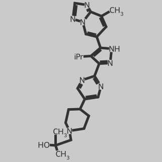 Cc1cc(-c2[nH]nc(-c3ncc(C4CCN(CC(C)(C)O)CC4)cn3)c2C(C)C)cn2ncnc12